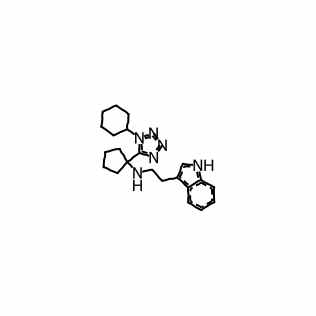 c1ccc2c(CCNC3(c4nnnn4C4CCCCC4)CCCC3)c[nH]c2c1